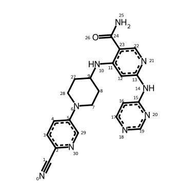 N#Cc1ccc(N2CCC(Nc3cc(Nc4ccncn4)ncc3C(N)=O)CC2)cn1